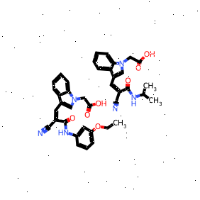 CC(C)NC(=O)C(C#N)=Cc1cn(CC(=O)O)c2ccccc12.CCOc1cccc(NC(=O)C(C#N)=Cc2cn(CC(=O)O)c3ccccc23)c1